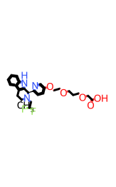 C[C@@H]1Cc2c([nH]c3ccccc23)[C@@H](c2ccc(OCCOCCCOCC(=O)O)cn2)N1CC(F)F